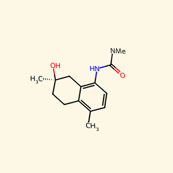 CNC(=O)Nc1ccc(C)c2c1C[C@](C)(O)CC2